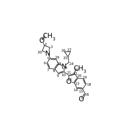 COC1CN(c2ccc3cc(-c4oc5cc(C=O)ccc5c4C)n(CC4CC4)c3c2)C1